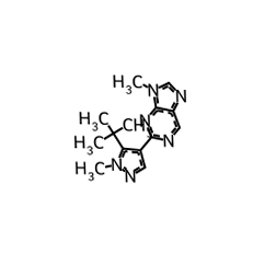 Cn1ncc(-c2ncc3ncn(C)c3n2)c1C(C)(C)C